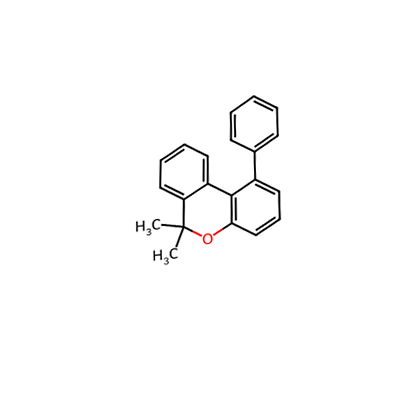 CC1(C)Oc2cccc(-c3ccccc3)c2-c2ccccc21